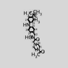 CC(=O)N1CCN(CC(=O)N(O)Cc2ccc(Nc3ccc(C(C)(C)C)cc3)cc2)CC1